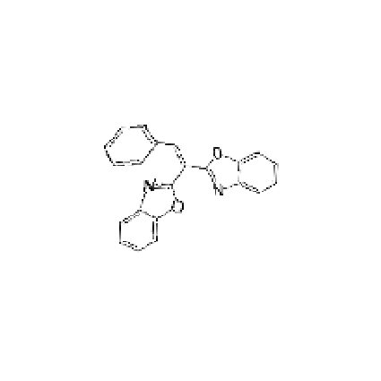 C(=C(c1nc2ccccc2o1)c1nc2ccccc2o1)c1ccccc1